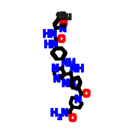 CC(C)(C)c1cc(NC(=O)Nc2ccc(Nc3ncnc(N)c3C(=N)c3ccc(C(=O)N4CCC(C(N)=O)CC4)cc3)cc2)no1